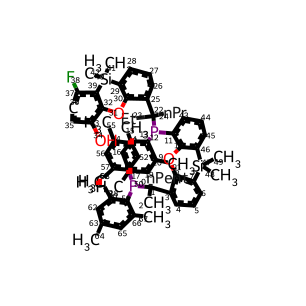 CCCCCC(C)(c1cccc2c1Oc1c(P(c3c(C)cc(C)cc3C)C(CC)(CCC)c3cccc4c3Oc3c(O)ccc(F)c3[Si]4(C)C)cccc1[Si]2(C)C)P(c1ccc(C)cc1C)c1c(C)cc(C)cc1C